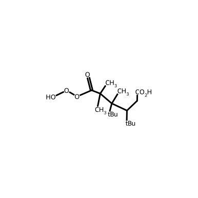 CC(C)(C)C(CC(=O)O)C(C)(C(C)(C)C)C(C)(C)C(=O)OOO